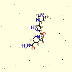 Cc1cc(-c2cc(C(=O)N3CCC(C(N)=O)CC34CC4)n[nH]2)ncn1